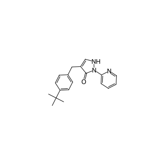 CC(C)(C)c1ccc(Cc2c[nH]n(-c3ccccn3)c2=O)cc1